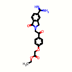 CCOC(=O)COc1ccc(C(=O)CN2Cc3cc(C(=N)N)ccc3C2=O)cc1